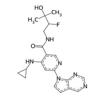 CC(C)(O)C(F)CNC(=O)c1cnc(-n2ccc3cncnc32)cc1NC1CC1